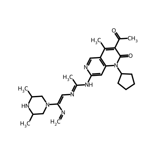 C=N/C(=C\N=C(/C)Nc1cc2c(cn1)c(C)c(C(C)=O)c(=O)n2C1CCCC1)N1CC(C)NC(C)C1